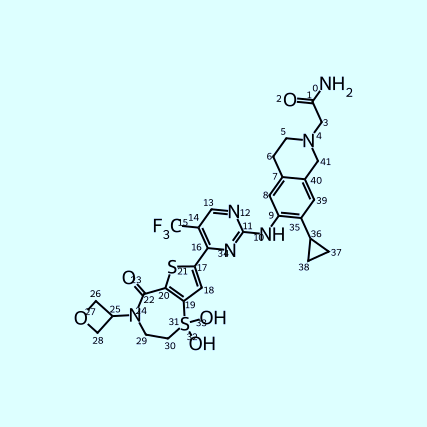 NC(=O)CN1CCc2cc(Nc3ncc(C(F)(F)F)c(-c4cc5c(s4)C(=O)N(C4COC4)CCS5(O)O)n3)c(C3CC3)cc2C1